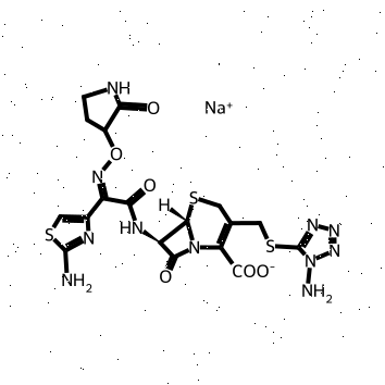 Nc1nc(/C(=N/OC2CCNC2=O)C(=O)N[C@@H]2C(=O)N3C(C(=O)[O-])=C(CSc4nnnn4N)CS[C@@H]23)cs1.[Na+]